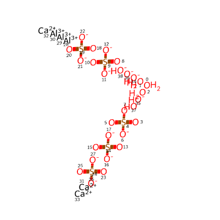 O.O.O.O=S(=O)([O-])[O-].O=S(=O)([O-])[O-].O=S(=O)([O-])[O-].O=S(=O)([O-])[O-].O=S(=O)([O-])[O-].[Al+3].[Al+3].[Al+3].[Ca+2].[Ca+2].[Ca+2].[OH-].[OH-].[OH-].[OH-].[OH-]